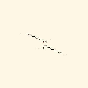 CCCCCCCCCCCCCCCCCCCC(OC(CCCCCCCCCCCCCCCCCCC)C(CC)CCCCC)C(CC)CCCCC